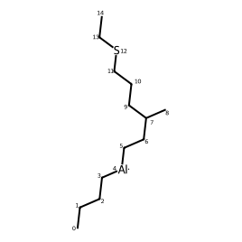 CCC[CH2][Al][CH2]CC(C)CCCSCC